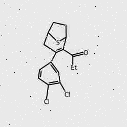 CCC(=O)C1=C(c2ccc(Cl)c(Cl)c2)CC2CCC1S2